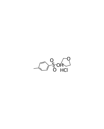 C1CCOC1.Cc1ccc(S(=O)(=O)O)cc1.Cl